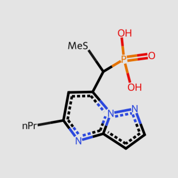 CCCc1cc(C(SC)P(=O)(O)O)n2nccc2n1